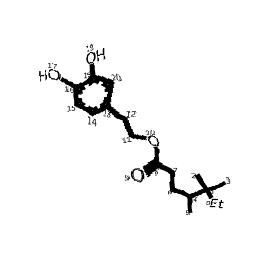 CCC(C)(C)C(C)CCC(=O)OCCc1ccc(O)c(O)c1